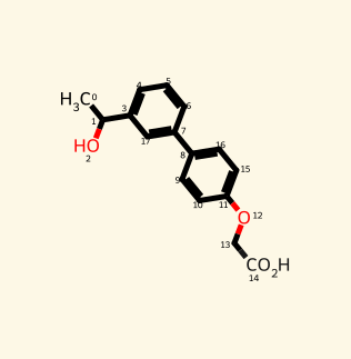 CC(O)c1cccc(-c2ccc(OCC(=O)O)cc2)c1